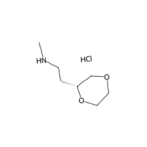 CNCC[C@@H]1COCCO1.Cl